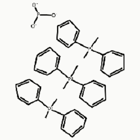 C[P+](C)(c1ccccc1)c1ccccc1.C[P+](C)(c1ccccc1)c1ccccc1.C[P+](C)(c1ccccc1)c1ccccc1.[O-]P([O-])[O-]